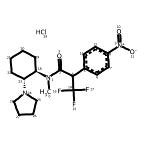 CN(C(=O)C(c1ccc([N+](=O)[O-])cc1)C(F)(F)F)[C@@H]1CCCC[C@H]1N1CCCC1.Cl